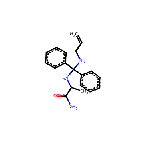 C=CCNC(NC(C)C(N)=O)(c1ccccc1)c1ccccc1